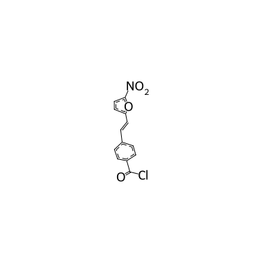 O=C(Cl)c1ccc(C=Cc2ccc([N+](=O)[O-])o2)cc1